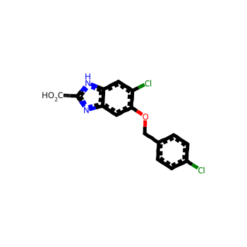 O=C(O)c1nc2cc(OCc3ccc(Cl)cc3)c(Cl)cc2[nH]1